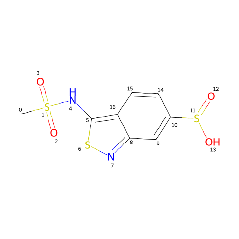 CS(=O)(=O)Nc1snc2cc(S(=O)O)ccc12